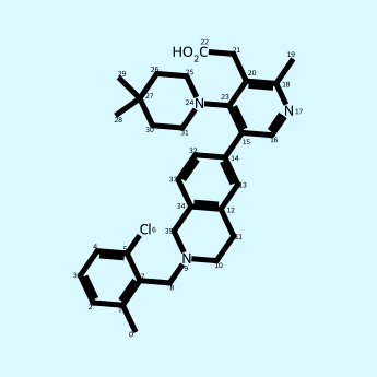 Cc1cccc(Cl)c1CN1CCc2cc(-c3cnc(C)c(CC(=O)O)c3N3CCC(C)(C)CC3)ccc2C1